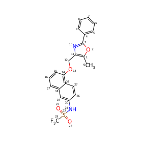 Cc1oc(-c2ccccc2)nc1COc1cccc2cc(NS(=O)(=O)C(F)(F)F)ccc12